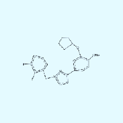 COc1ccc(-c2ccn(Cc3cccc(F)c3F)n2)cc1OC1CCCC1